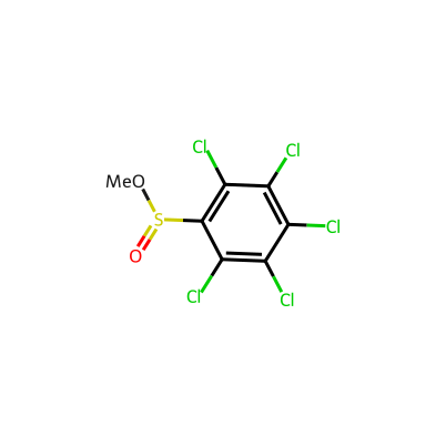 COS(=O)c1c(Cl)c(Cl)c(Cl)c(Cl)c1Cl